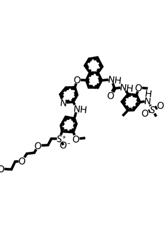 COCCOCCOCC[S+]([O-])c1ccc(Nc2cc(Oc3ccc(NC(=O)Nc4cc(C)cc(NS(C)(=O)=O)c4OC)c4ccccc34)ccn2)cc1OC